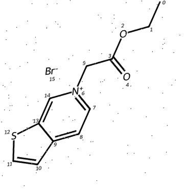 CCOC(=O)C[n+]1ccc2ccsc2c1.[Br-]